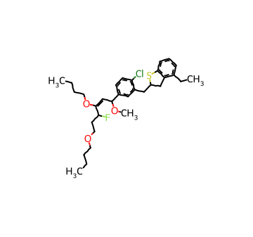 CCCCOCCC(F)/C(=C\C(OC)c1ccc(Cl)c(CC2Cc3c(CC)cccc3S2)c1)OCCCC